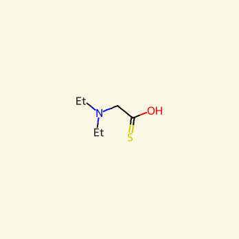 CCN(CC)CC(O)=S